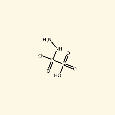 NNP(=O)(Cl)S(=O)(=O)O